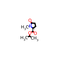 CC(C)OC(=O)[C@@H]1CCC(=O)N1C